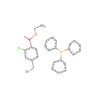 CCOC(=O)c1ccc(CBr)cc1Cl.c1ccc(P(c2ccccc2)c2ccccc2)cc1